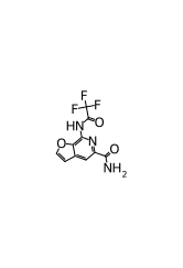 NC(=O)c1cc2ccoc2c(NC(=O)C(F)(F)F)n1